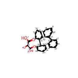 O=C(O)C(=O)C(=O)O.c1ccc(-c2ccccc2)cc1.c1ccc(-c2ccccc2)cc1